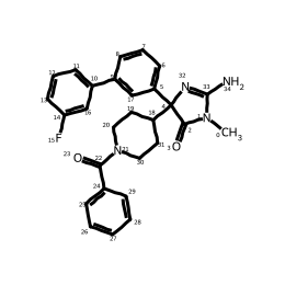 CN1C(=O)C(c2cccc(-c3cccc(F)c3)c2)(C2CCN(C(=O)c3ccccc3)CC2)N=C1N